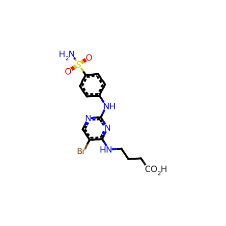 NS(=O)(=O)c1ccc(Nc2ncc(Br)c(NCCCC(=O)O)n2)cc1